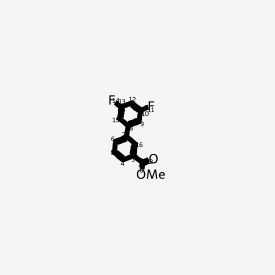 COC(=O)c1cccc(-c2cc(F)cc(F)c2)c1